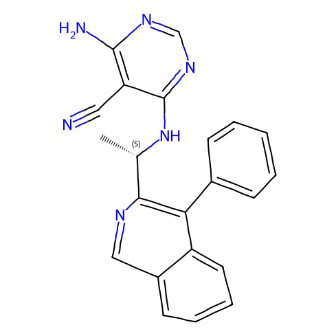 C[C@H](Nc1ncnc(N)c1C#N)c1ncc2ccccc2c1-c1ccccc1